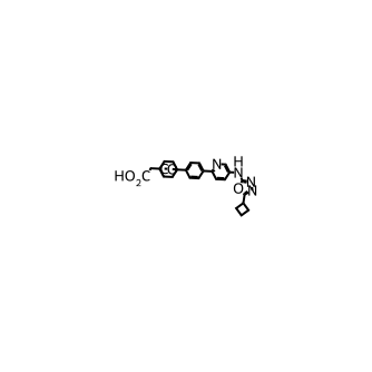 O=C(O)CC12CCC(c3ccc(-c4ccc(Nc5nnc(C6CCC6)o5)cn4)cc3)(CC1)OC2